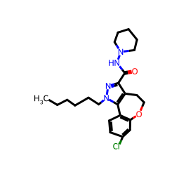 CCCCCCn1nc(C(=O)NN2CCCCC2)c2c1-c1ccc(Cl)cc1OCC2